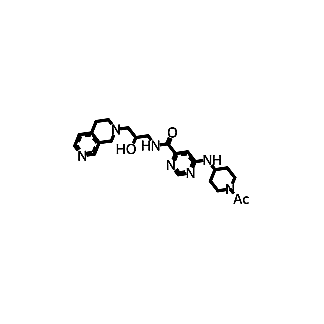 CC(=O)N1CCC(Nc2cc(C(=O)NCC(O)CN3CCc4ccncc4C3)ncn2)CC1